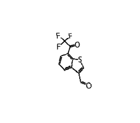 O=Cc1csc2c(C(=O)C(F)(F)F)cccc12